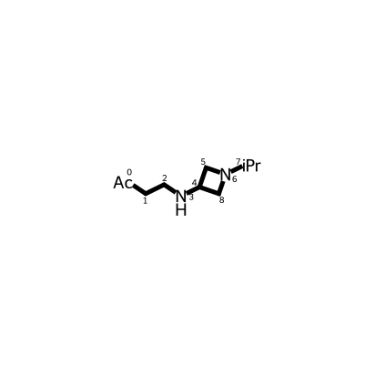 CC(=O)CCNC1CN(C(C)C)C1